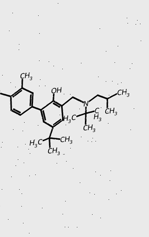 Cc1cc(-c2cc(C(C)(C)C)cc(CN(CC(C)C)C(C)(C)C)c2O)ccc1Cl